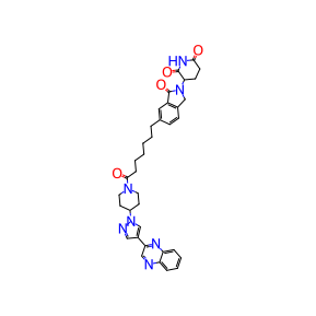 O=C1CCC(N2Cc3ccc(CCCCCCC(=O)N4CCC(n5cc(-c6cnc7ccccc7n6)cn5)CC4)cc3C2=O)C(=O)N1